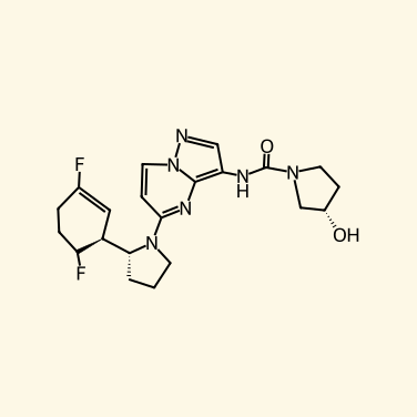 O=C(Nc1cnn2ccc(N3CCC[C@@H]3[C@@H]3C=C(F)CCC3F)nc12)N1CC[C@H](O)C1